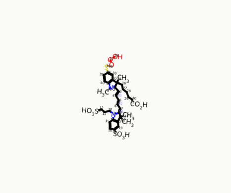 C[N+]1=C(/C=C/C=C/C=C2\N(CCCS(=O)(=O)O)c3ccc(S(=O)(=O)O)cc3C2(C)C)C(C)(CCCCCC(=O)O)c2cc(SOOO)ccc21